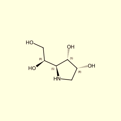 OC[C@H](O)[C@@H]1NC[C@@H](O)[C@H]1O